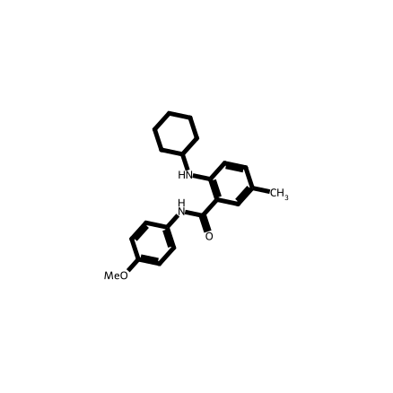 COc1ccc(NC(=O)c2cc(C)ccc2NC2CCCCC2)cc1